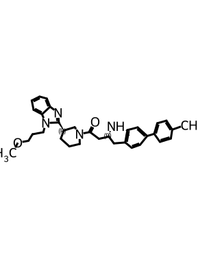 COCCCn1c([C@@H]2CCCN(C(=O)C[C@H](N)Cc3ccc(-c4ccc(C)cc4)cc3)C2)nc2ccccc21